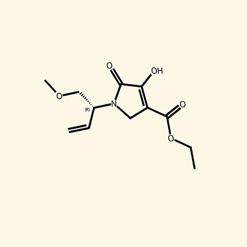 C=C[C@H](COC)N1CC(C(=O)OCC)=C(O)C1=O